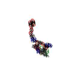 CO[C@@H]1CO[C@H]2[C@@H]1OC[C@H]2OCCOCCOc1ccc(-c2nccc(COc3ccc4cc3C[C@H](C(=O)OC(C)(C)C)Oc3ncnc5sc(-c6ccc(F)cc6)c(c35)-c3c(C)c(Cl)c(c(Cl)c3C)O[C@H](CN3CCN(C)CC3)CO4)n2)cc1